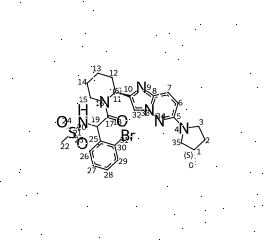 C[C@H]1CCN(c2ccc3nc([C@@H]4CCCCN4C(=O)C(NS(C)(=O)=O)c4ccccc4Br)cn3n2)C1